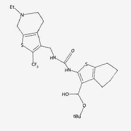 CCN1CCc2c(sc(C(F)(F)F)c2CNC(=O)Nc2sc3c(c2C(O)OC(C)(C)C)CCCC3)C1